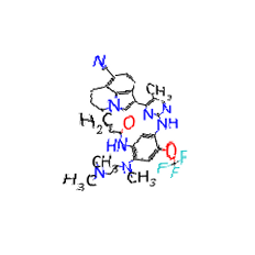 C=CC(=O)Nc1cc(Nc2ncc(C)c(-c3cn4c5c(c(C#N)ccc35)CCC4)n2)c(OC(F)(F)F)cc1N(C)CCN(C)C